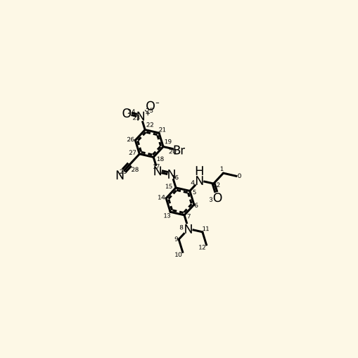 CCC(=O)Nc1cc(N(CC)CC)ccc1/N=N/c1c(Br)cc([N+](=O)[O-])cc1C#N